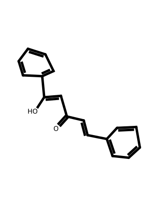 O=C(C=Cc1ccccc1)C=C(O)c1ccccc1